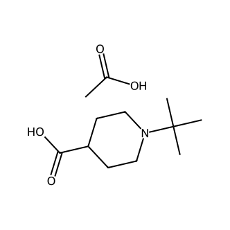 CC(=O)O.CC(C)(C)N1CCC(C(=O)O)CC1